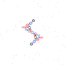 CC[C@@]1(OC(=O)N2CCN(C(=O)O[C@]3(CC)CC[C@H](C(=O)N4CCN(c5ccccc5)CC4)[C@@H](C(=O)NO)C3)CC2)CC[C@H](C(=O)N2CCN(c3ccccc3)CC2)[C@@H](C(=O)NO)C1